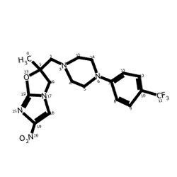 CC1(CN2CCN(c3ccc(C(F)(F)F)cc3)CC2)Cn2cc([N+](=O)[O-])nc2O1